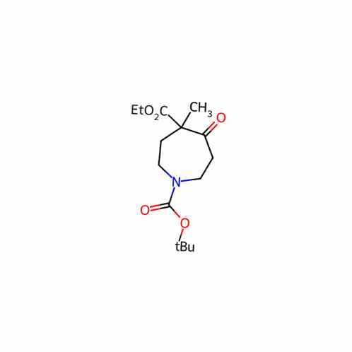 CCOC(=O)C1(C)CCN(C(=O)OC(C)(C)C)CCC1=O